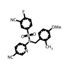 COc1ccc(CN(c2ccc(C#N)cn2)S(=O)(=O)c2ccc(F)c(C#N)c2)c(C)c1